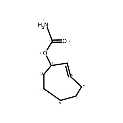 NC(=O)OC1/C=C/CCCCC1